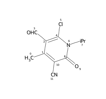 Cc1c(C=O)c(Cl)n(C(C)C)c(=O)c1C#N